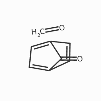 C=O.O=C1C2=CC=C1C=C2